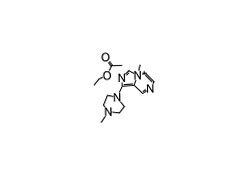 CCOC(C)=O.CN1CCN(C2=C3C=NC=C[N+]3(C)C=N2)CC1